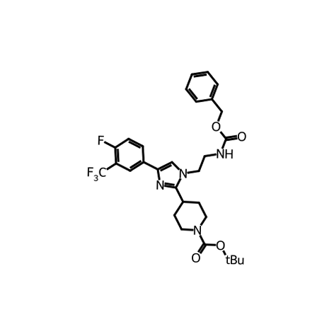 CC(C)(C)OC(=O)N1CCC(c2nc(-c3ccc(F)c(C(F)(F)F)c3)cn2CCNC(=O)OCc2ccccc2)CC1